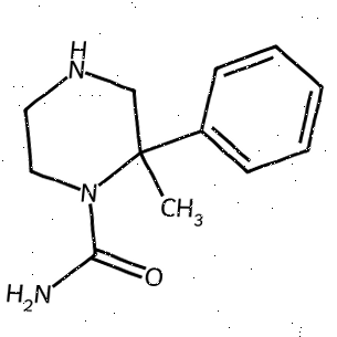 CC1(c2ccccc2)CNCCN1C(N)=O